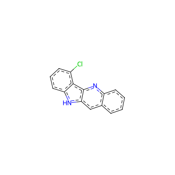 Clc1cccc2[nH]c3cc4ccccc4nc3c12